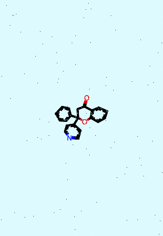 O=C1CC(c2ccccc2)(c2ccncc2)Oc2ccccc21